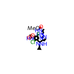 COC(=O)NC(C)CNc1nccc(-c2[nH]c(C3CC3)nc2-c2cc(F)cc(NS(C)(=O)=O)c2Cl)n1